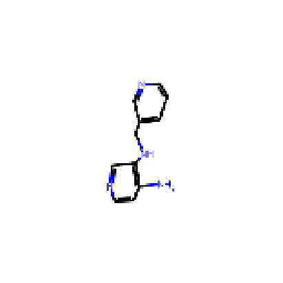 Nc1ccncc1NCc1cccnc1